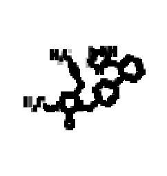 CC#CCc1cn(CC)c(=O)n1Cc1ccc(-c2ccccc2-c2nnn[nH]2)cc1